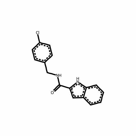 O=C(NCc1ccc(Cl)cc1)c1cc2ccccc2[nH]1